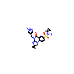 Cn1cc(CN2C(=O)c3cc(S(=O)(=O)NC4(C)CC4)ccc3N3CC4(CC4)N=C23)cn1